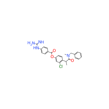 CC(C(=O)N(C)Cc1ccccc1)c1ccc(OC(=O)c2ccc(NC(=N)N)cc2)cc1Cl